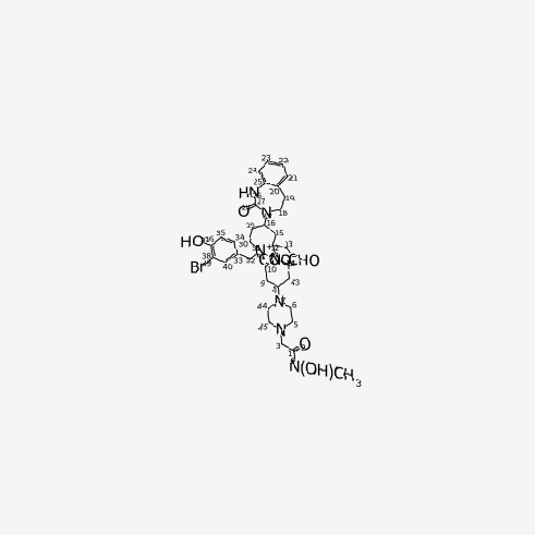 CN(O)C(=O)CN1CCN(C2CCN(C3(CC=O)CC(N4CCc5ccccc5NC4=O)CC[N@+]3(Cc3ccc(O)c(Br)c3)C(=O)[O-])CC2)CC1